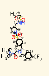 C=CS(=O)(=O)NC[C@H]1CCN(S(=O)(=O)c2ccc(CN(CC(=O)N(C)C)Cc3ccc(C(F)(F)F)cc3)cc2)C1